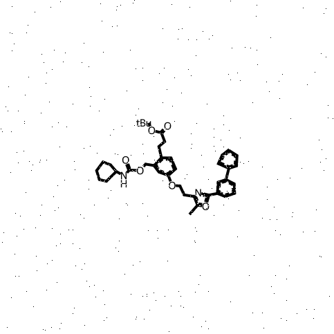 Cc1oc(-c2cccc(-c3ccccc3)c2)nc1CCOc1ccc(CCC(=O)OC(C)(C)C)c(COC(=O)NC2CCCCC2)c1